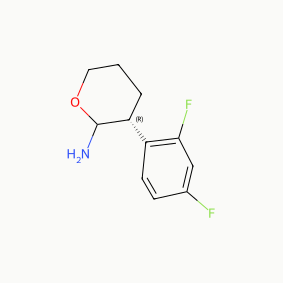 NC1OCCC[C@@H]1c1ccc(F)cc1F